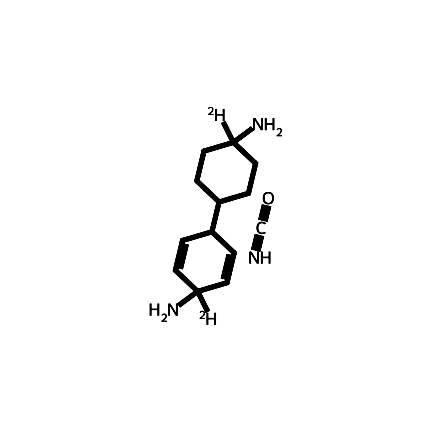 N=C=O.[2H]C1(N)C=CC(C2CCC([2H])(N)CC2)C=C1